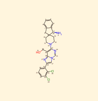 N[C@@H]1c2ccccc2CC12CCN(c1ncn3cc(-c4cccc(Cl)c4Cl)nc3c1CO)CC2